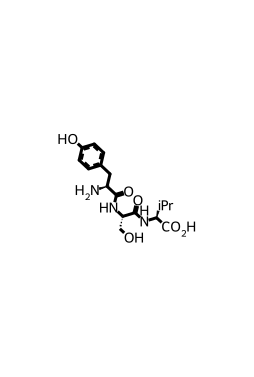 CC(C)[C@H](NC(=O)[C@H](CO)NC(=O)[C@@H](N)Cc1ccc(O)cc1)C(=O)O